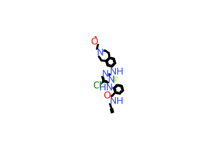 C#CCNC(=O)c1cccc(F)c1Nc1nc(Nc2ccc3c(c2)CCN(CCOC)CC3)ncc1Cl